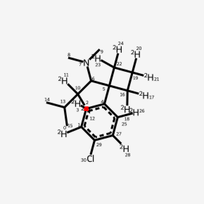 [2H]c1c([2H])c(C2(C(N(C)C)C([2H])([2H])C(C)C)C([2H])([2H])C([2H])([2H])C2([2H])[2H])c([2H])c([2H])c1Cl